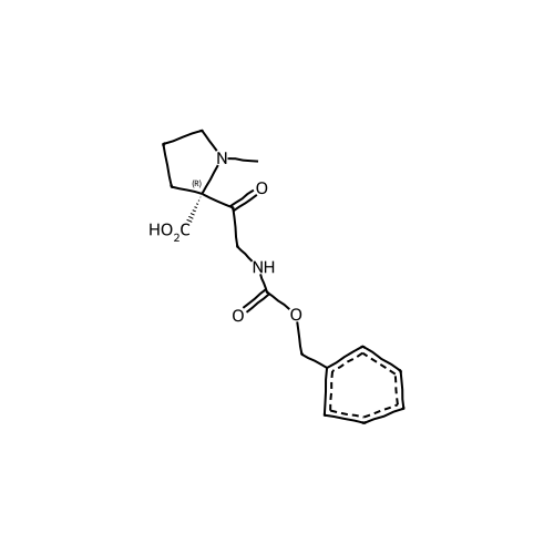 CN1CCC[C@]1(C(=O)O)C(=O)CNC(=O)OCc1ccccc1